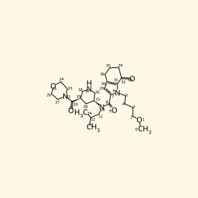 COCCCCn1c(C(=O)N(CC(C)C)[C@@H]2CNC[C@H](C(=O)N3CCOCC3)C2)cc2c1C(=O)CCC2